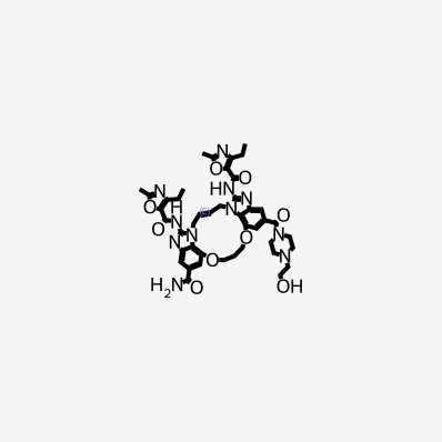 CCc1nc(C)oc1C(=O)Nc1nc2cc(C(N)=O)cc3c2n1C/C=C/Cn1c(NC(=O)c2oc(C)nc2CC)nc2cc(C(=O)N4CCN(CCO)CC4)cc(c21)OCCCO3